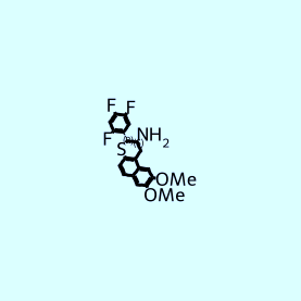 COc1cc2ccc3c(c2cc1OC)C[C@H](N)[C@@H](c1cc(F)c(F)cc1F)S3